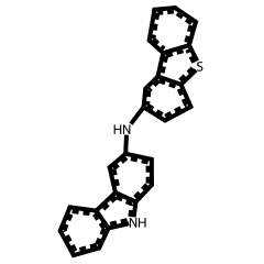 c1ccc2c(c1)[nH]c1ccc(Nc3ccc4sc5ccccc5c4c3)cc12